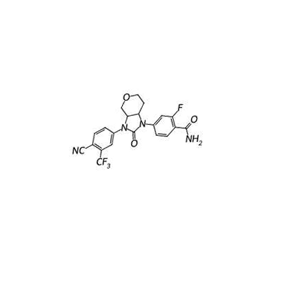 N#Cc1ccc(N2C(=O)N(c3ccc(C(N)=O)c(F)c3)C3CCOCC32)cc1C(F)(F)F